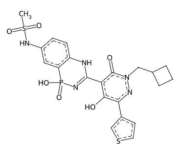 CS(=O)(=O)Nc1ccc2c(c1)P(=O)(O)N=C(c1c(O)c(-c3ccsc3)nn(CC3CCC3)c1=O)N2